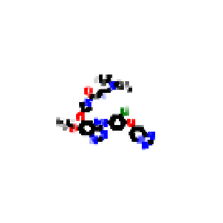 COc1cc2ncnc(Nc3ccc(Oc4ccn5ncnc5c4)c(Cl)c3)c2cc1OC1CN(C(=O)/C=C/CN(C)C)C1